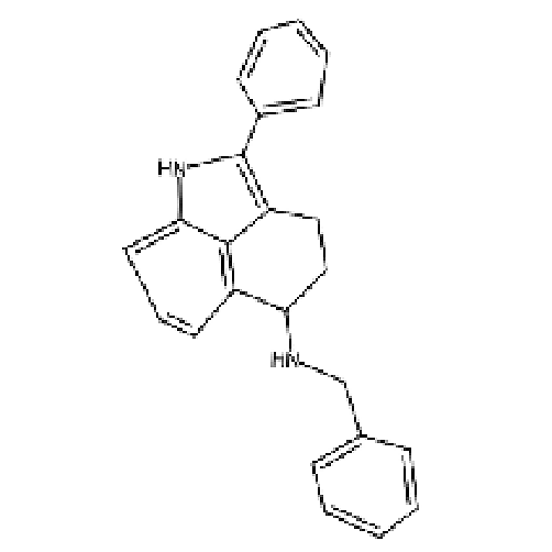 c1ccc(CNC2CCc3c(-c4ccccc4)[nH]c4cccc2c34)cc1